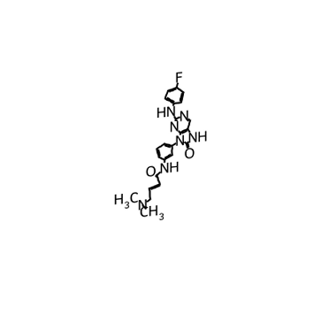 CN(C)CC=CC(=O)Nc1cccc(-n2c(=O)[nH]c3cnc(Nc4ccc(F)cc4)nc32)c1